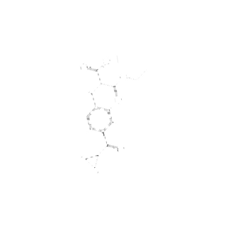 CCOC(=O)C(Cc1ccc(C(=O)C2CC2)cc1)C(=O)O